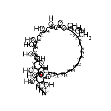 C[C@@H]1[C@H](O)[C@@H](C)/C=C/C=C/C=C/C=C/C=C/C=C/C=C/C(OC2OC[C@@H](O)C(N=[N+]=[N-])[C@H]2O)C[C@@H]2OC(O)(CC(O)CC(O)C(O)CCC(O)CC(O)CC(=O)O[C@H]1C)C[C@H](O)C2C(=O)O